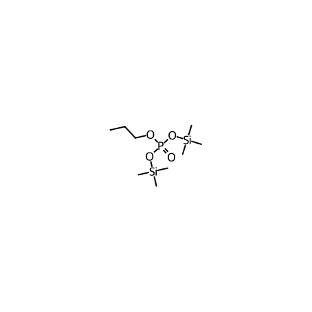 CCCOP(=O)(O[Si](C)(C)C)O[Si](C)(C)C